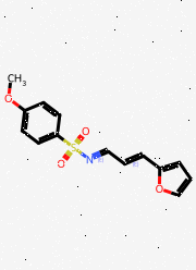 COc1ccc(S(=O)(=O)/N=C/C=C/c2ccco2)cc1